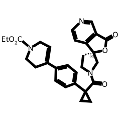 CCOC(=O)N1CC=C(c2ccc(C3(C(=O)N4CC[C@@]5(C4)OC(=O)c4cnccc45)CC3)cc2)CC1